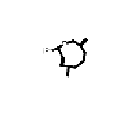 C=C1CCCC(C)/C=C/C(C(C)C)CC1